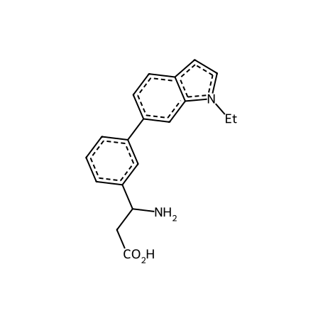 CCn1ccc2ccc(-c3cccc(C(N)CC(=O)O)c3)cc21